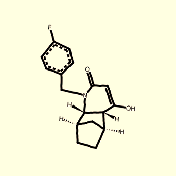 O=C1C=C(O)[C@@H]2[C@H]3CC[C@H](C3)[C@@H]2N1Cc1ccc(F)cc1